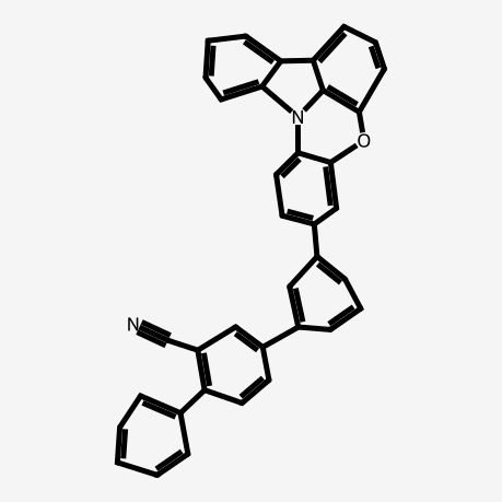 N#Cc1cc(-c2cccc(-c3ccc4c(c3)Oc3cccc5c6ccccc6n-4c35)c2)ccc1-c1ccccc1